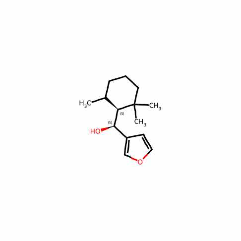 CC1CCCC(C)(C)[C@H]1[C@H](O)c1ccoc1